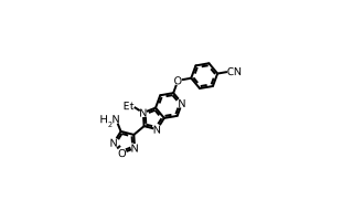 CCn1c(-c2nonc2N)nc2cnc(Oc3ccc(C#N)cc3)cc21